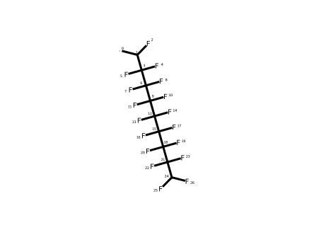 [CH2]C(F)C(F)(F)C(F)(F)C(F)(F)C(F)(F)C(F)(F)C(F)(F)C(F)(F)[C](F)F